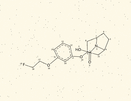 O=C(O)N1C2CCC1CC(Oc1cccc(OCCF)c1)C2